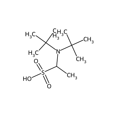 CC(N(C(C)(C)C)C(C)(C)C)S(=O)(=O)O